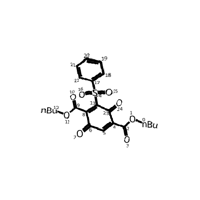 CCCCOC(=O)C1=CC(=O)C(C(=O)OCCCC)=C(S(=O)(=O)c2ccccc2)C1=O